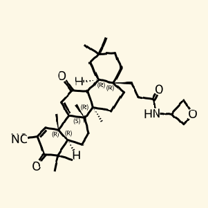 CC1(C)CC[C@]2(CCC(=O)NC3COC3)CC[C@]3(C)C(C(=O)C=C4[C@@]5(C)C=C(C#N)C(=O)C(C)(C)[C@@H]5CC[C@]43C)[C@H]2C1